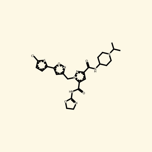 CC(C)N1CCC(NC(=O)c2cc(C(=O)NC3=NCCO3)n(Cc3cc(-c4ccc(Cl)s4)on3)n2)CC1